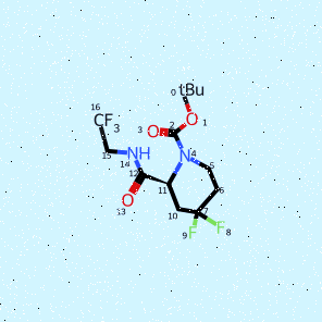 CC(C)(C)OC(=O)N1CCC(F)(F)C[C@H]1C(=O)NCC(F)(F)F